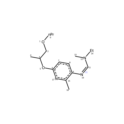 CCCOCC(C)Oc1ccc(/N=C\N(C)CC)c(C)n1